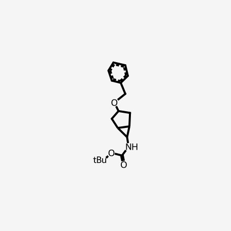 CC(C)(C)OC(=O)NC1C2CC(OCc3ccccc3)CC21